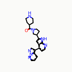 O=C(C1CCNCC1)N1CCC(c2cc3c(-c4cnn5ncccc45)ccnc3[nH]2)C1